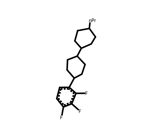 CCCC1CCC(C2CCC(c3ccc(F)c(F)c3F)CC2)CC1